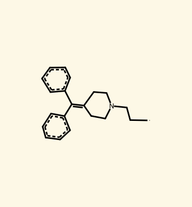 [CH2]CCN1CCC(=C(c2ccccc2)c2ccccc2)CC1